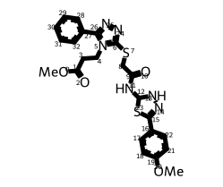 COC(=O)CCn1c(SCC(=O)NC2NN=C(c3ccc(OC)cc3)S2)nnc1-c1ccccc1